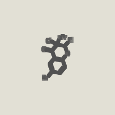 CCCC1(Cl)C(=O)c2cc(Br)ccc2OC1Cl